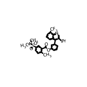 Cc1ccc(S(=O)(=O)N(C)C)cc1C(=O)Oc1cccc(-c2c(C(C)C)cnc3c(C(F)(F)F)cccc23)c1